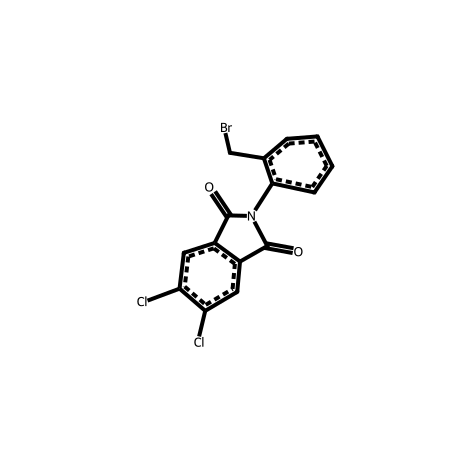 O=C1c2cc(Cl)c(Cl)cc2C(=O)N1c1ccccc1CBr